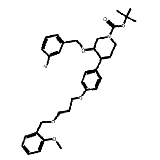 COc1ccccc1COCCCOc1ccc(C2CCN(C(=O)OC(C)(C)C)CC2OCc2cccc(Br)c2)cc1